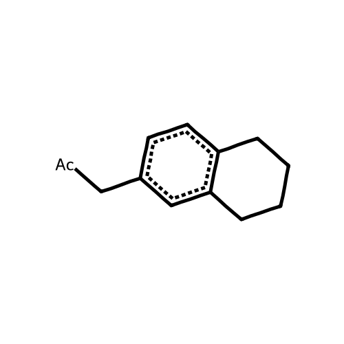 CC(=O)Cc1ccc2c(c1)CCCC2